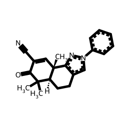 CC1(C)C(=O)C(C#N)=C[C@]2(C)c3nn(-c4ccccc4)cc3CC[C@@H]12